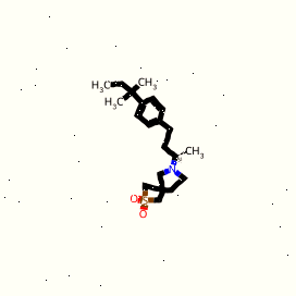 CCC(C)(C)c1ccc(CC[C@H](C)N2CCC3(C2)CS(=O)(=O)C3)cc1